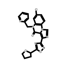 O=c1c2c(-c3noc(C4CCCO4)n3)ncn2c2ccc(Cl)cc2n1Cc1ccccn1